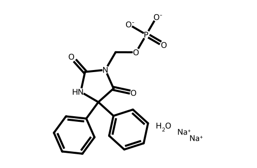 O.O=C1NC(c2ccccc2)(c2ccccc2)C(=O)N1COP(=O)([O-])[O-].[Na+].[Na+]